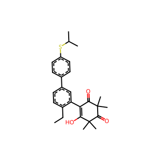 CCc1ccc(-c2ccc(SC(C)C)cc2)cc1C1=C(O)C(C)(C)C(=O)C(C)(C)C1=O